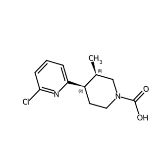 C[C@H]1CN(C(=O)O)CC[C@H]1c1cccc(Cl)n1